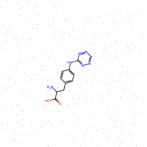 NC(Cc1ccc(Nc2nncnn2)cc1)C(=O)O